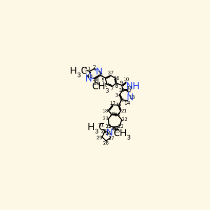 Cc1cnc(-c2ccc(-c3c[nH]c4ncc(-c5ccc6c(c5)CC[C@@](C)(N5CCC[C@H]5C)CC6)cc34)cc2)c(C)n1